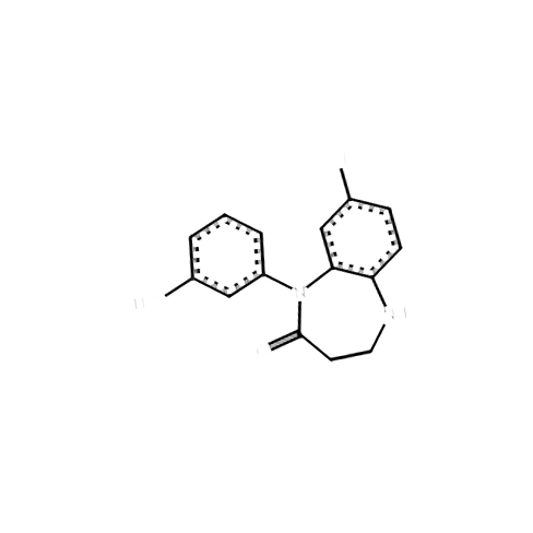 Cc1cccc(N2C(=O)CCNc3ccc(Cl)cc32)c1